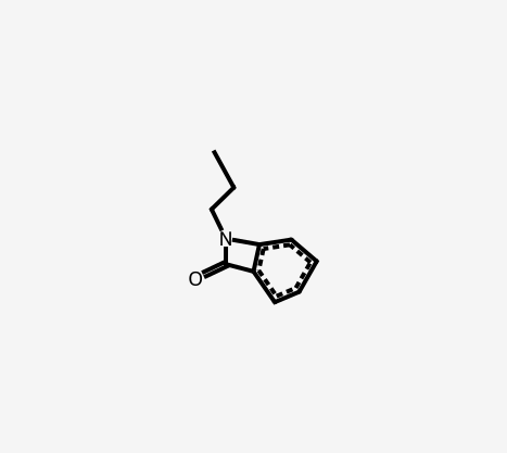 CCCN1C(=O)c2ccccc21